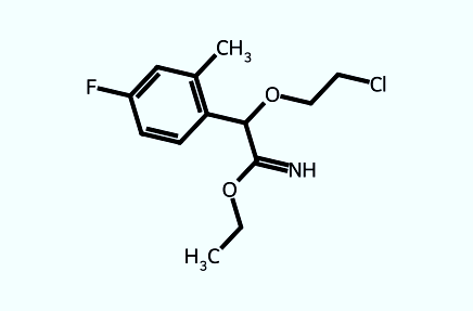 CCOC(=N)C(OCCCl)c1ccc(F)cc1C